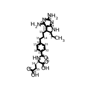 CCC1Nc2nc(N)nc(N)c2C1CCCc1ccc(C(=O)N[C@@H](CCC(=O)O)C(=O)O)cc1